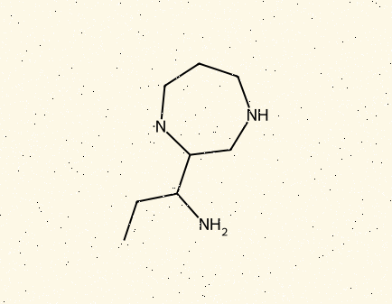 CCC(N)C1CNCCC[N]1